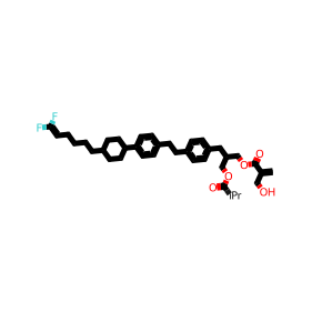 C=C(CO)C(=O)OCC(COC(=O)C(C)C)Cc1ccc(CCc2ccc(C3CCC(CCCCC=C(F)F)CC3)cc2)cc1